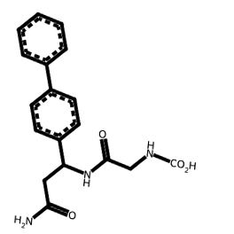 NC(=O)CC(NC(=O)CNC(=O)O)c1ccc(-c2ccccc2)cc1